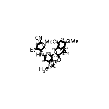 CCc1cc(C#N)ncc1Nc1cc2c(ncn2C)c(N(Cc2ccc(OC)cc2OC)C(=O)C2CC2)n1